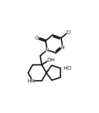 Cl.O=c1cc(Cl)ncn1CC1(O)CCNCC12CCCC2